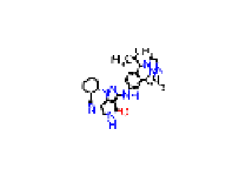 Cc1cc(Nc2nn([C@H]3CCCCC3C#N)c3cc[nH]c(=O)c23)ccc1C(C(C)C)n1ccnn1